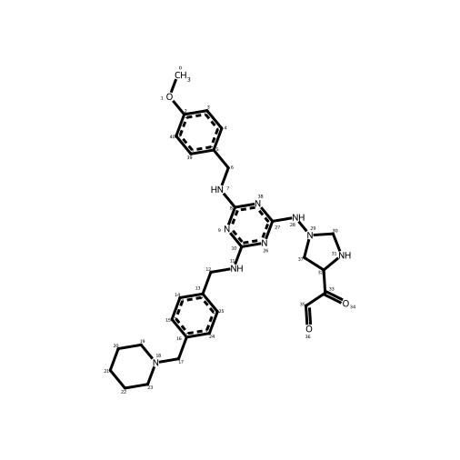 COc1ccc(CNc2nc(NCc3ccc(CN4CCCCC4)cc3)nc(NN3CNC(C(=O)C=O)C3)n2)cc1